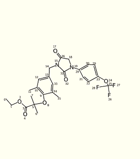 CCOC(=O)C(C)(C)Oc1c(C)cc(CN2C(=O)CN(c3ccc(OC(F)(F)F)cc3)C2=O)cc1C